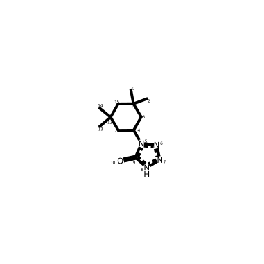 CC1(C)CC(n2nn[nH]c2=O)CC(C)(C)C1